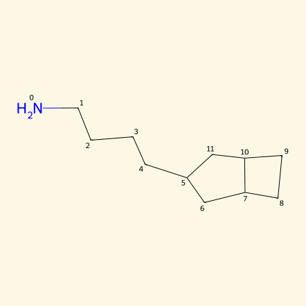 NCCCCC1CC2CCC2C1